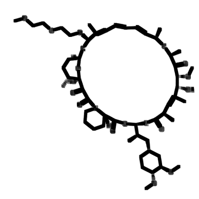 COCCOCCO[C@@H]1C[C@@H]2CC[C@@H](C)[C@@](O)(O2)C(=O)C(=O)N2CCCC[C@H]2C(=O)O[C@H]([C@H](C)C[C@@H]2CC[C@@H](OC)[C@H](OC)C2)CC(=O)[C@H](C)/C=C(\C)[C@@H](O)[C@@H](OC)C(=O)[C@H](C)C[C@H](C)/C=C/C=C/C=C/1C